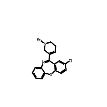 CCN1CCC=C(C2=Nc3ccccc3Sc3ccc(Cl)cc32)C1